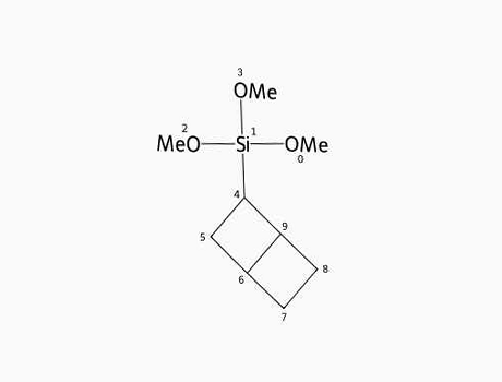 CO[Si](OC)(OC)C1CC2CCC21